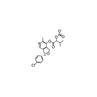 Cc1ncc2c(c1OC(=O)C(O[N+](=O)[O-])C(C)C)CO[C@@H]2c1ccc(Cl)cc1